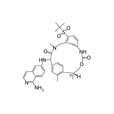 Cc1cc2ccc1[C@@H](C)COC(=O)Nc1ccc(S(=O)(=O)C(C)(C)C)c(c1)CN(C)C(=O)C2Nc1ccc2c(N)nccc2c1